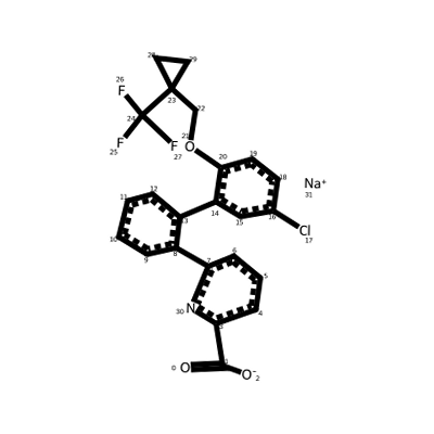 O=C([O-])c1cccc(-c2ccccc2-c2cc(Cl)ccc2OCC2(C(F)(F)F)CC2)n1.[Na+]